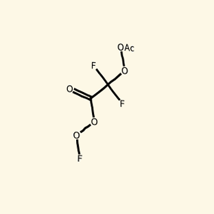 CC(=O)OOC(F)(F)C(=O)OOF